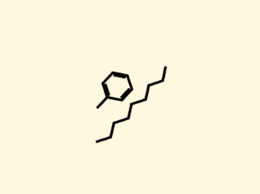 CCCCCCCCC.Cc1ccccc1